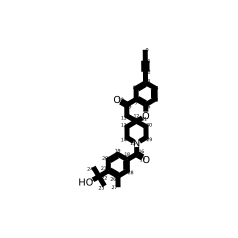 CC#Cc1ccc2c(c1)C(=O)CC1(CCN(C(=O)c3ccc(C(C)(C)O)c(C)c3)CC1)O2